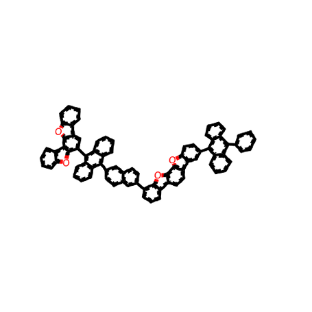 c1ccc(-c2c3ccccc3c(-c3ccc4oc5c(ccc6c7cccc(-c8ccc9cc(-c%10c%11ccccc%11c(-c%11cc%12c%13ccccc%13oc%12c%12c%11oc%11ccccc%11%12)c%11ccccc%10%11)ccc9c8)c7oc65)c4c3)c3ccccc23)cc1